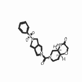 O=C1CO[C@H]2CCN(C(=O)N3CC4CN(S(=O)(=O)c5ccccc5)CC4C3)C[C@H]2N1